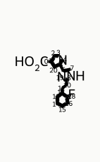 O=C(O)c1ccnc(-c2c[nH]c(CCc3ccccc3F)n2)c1